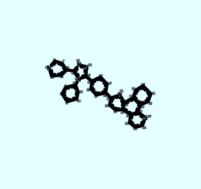 c1ccc(-n2c(-c3ccncc3)nnc2-c2ccc(-c3ccc4c5cccnc5c5ccccc5c4n3)cc2)cc1